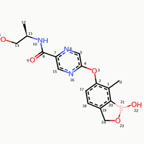 Cc1c(Oc2cnc(C(=O)N[C@H](C)CO)cn2)ccc2c1B(O)OC2